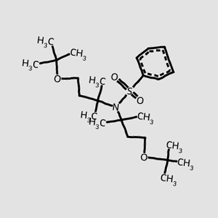 CC(C)(C)OCCC(C)(C)N(C(C)(C)CCOC(C)(C)C)S(=O)(=O)c1ccccc1